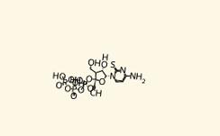 C#C[C@]1(OP(=O)(O)OP(=O)(O)OP(=O)(O)O)O[C@@H](n2ccc(N)nc2=S)[C@@H](O)C1CO